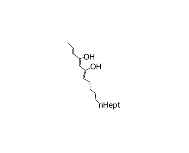 CC=CC(O)=CC(O)=CCCCCCCCCCCC